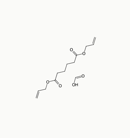 C=CCOC(=O)CCCCC(=O)OCC=C.O=CO